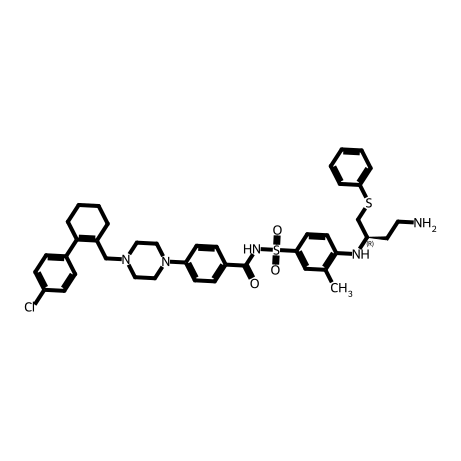 Cc1cc(S(=O)(=O)NC(=O)c2ccc(N3CCN(CC4=C(c5ccc(Cl)cc5)CCCC4)CC3)cc2)ccc1N[C@H](CCN)CSc1ccccc1